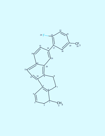 CC1CC=CC2=C1CCc1c2ccc2ccc(-c3cc(C(F)(F)F)ccc3F)cc12